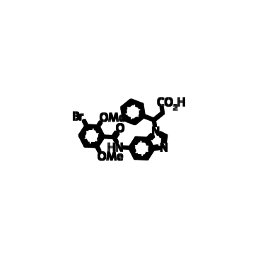 COc1ccc(Br)c(OC)c1C(=O)Nc1ccc2ncn(C(CC(=O)O)c3ccccc3)c2c1